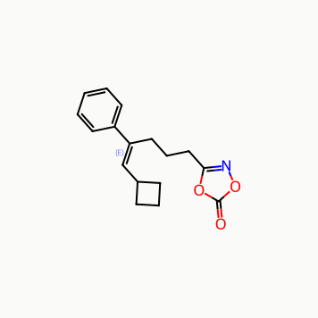 O=c1onc(CCC/C(=C\C2CCC2)c2ccccc2)o1